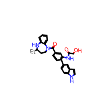 CCC1CCN(C(=O)c2ccc(-c3ccc4[nH]ccc4c3)c(NC(=O)CO)c2)c2ccccc2N1